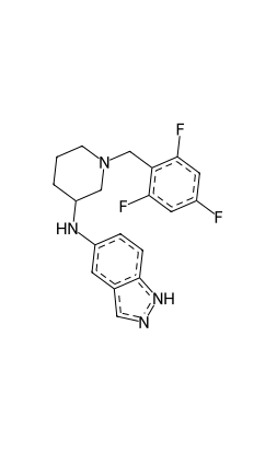 Fc1cc(F)c(CN2CCCC(Nc3ccc4[nH]ncc4c3)C2)c(F)c1